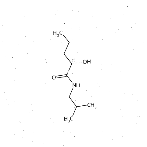 CCC[C@H](O)C(=O)NCC(C)C